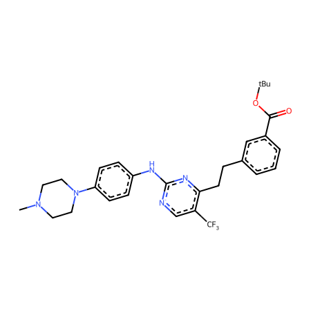 CN1CCN(c2ccc(Nc3ncc(C(F)(F)F)c(CCc4cccc(C(=O)OC(C)(C)C)c4)n3)cc2)CC1